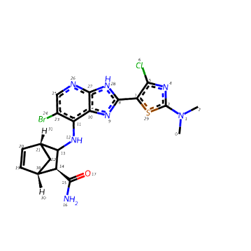 CN(C)c1nc(Cl)c(-c2nc3c(NC4[C@@H](C(N)=O)[C@@H]5C=C[C@H]4C5)c(Br)cnc3[nH]2)s1